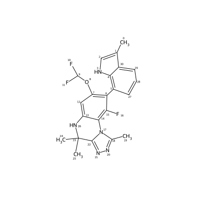 Cc1c[nH]c2c(-c3c(OC(F)F)cc4c(c3F)-n3c(C)nnc3C(C)(C)N4)cccc12